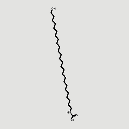 OCCCCCCCCCCCCCCCCCCCCCCCCCCNC(=S)S